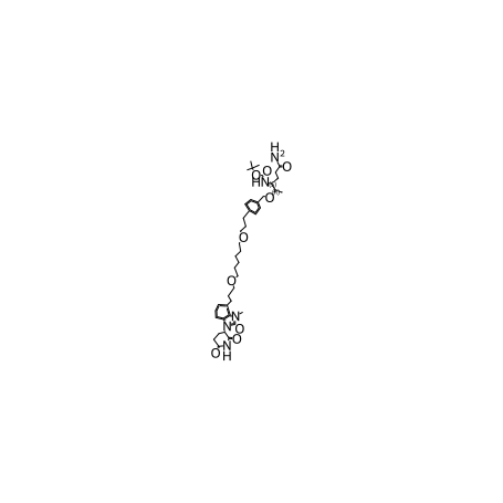 C[C@@H](OCc1ccc(CCCOCCCCCCOCCCc2cccc3c2n(C)c(=O)n3C2CCC(=O)NC2=O)cc1)[C@H](CCC(N)=O)NC(=O)OC(C)(C)C